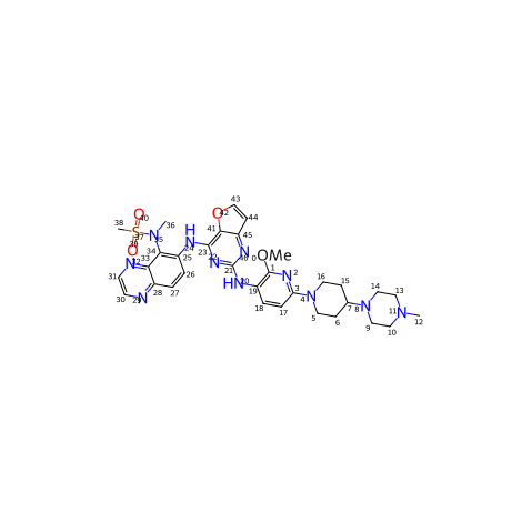 COc1nc(N2CCC(N3CCN(C)CC3)CC2)ccc1Nc1nc(Nc2ccc3nccnc3c2N(C)S(C)(=O)=O)c2occc2n1